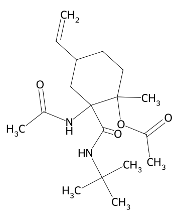 C=CC1CCC(C)(OC(C)=O)C(NC(C)=O)(C(=O)NC(C)(C)C)C1